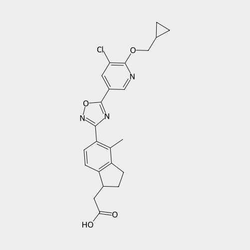 Cc1c(-c2noc(-c3cnc(OCC4CC4)c(Cl)c3)n2)ccc2c1CCC2CC(=O)O